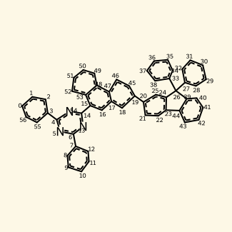 c1ccc(-c2nc(-c3ccccc3)nc(-c3cc4cc(-c5ccc6c(c5)C(c5ccccc5)(c5ccccc5)c5ccccc5-6)ccc4c4ccccc34)n2)cc1